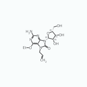 C=CCn1c(=O)n([C@@H]2O[C@H](CO)[C@@H](O)[C@H]2O)c2nc(N)nc(OCC)c21